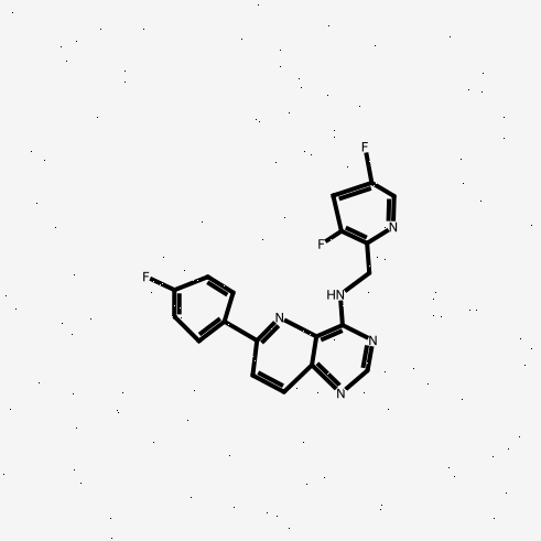 Fc1ccc(-c2ccc3ncnc(NCc4ncc(F)cc4F)c3n2)cc1